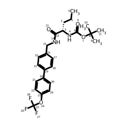 CCC[C@H](NC(=O)OC(C)(C)C)C(=O)NCc1ccc(-c2ccc(OC(F)(F)F)cc2)cc1